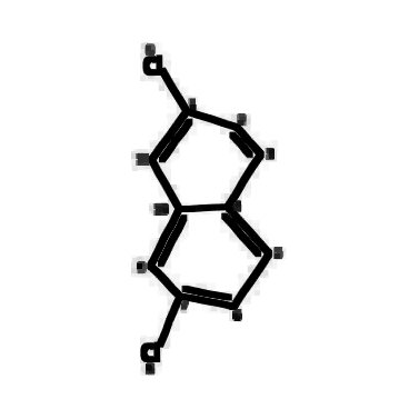 Clc1ccc2ccc(Cl)cc2c1